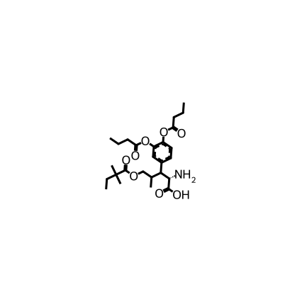 CCCC(=O)Oc1ccc(C(C(C)COC(=O)C(C)(C)CC)[C@H](N)C(=O)O)cc1OC(=O)CCC